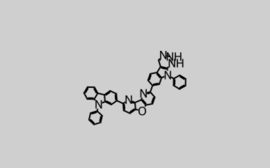 C1=NNNc2c1c1ccc(-c3ccc4oc5ccc(-c6ccc7c8ccccc8n(-c8ccccc8)c7c6)nc5c4n3)cc1n2-c1ccccc1